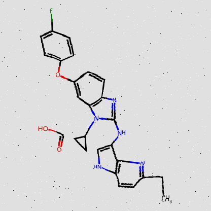 CCc1ccc2[nH]cc(Nc3nc4ccc(Oc5ccc(F)cc5)cc4n3C3CC3)c2n1.O=CO